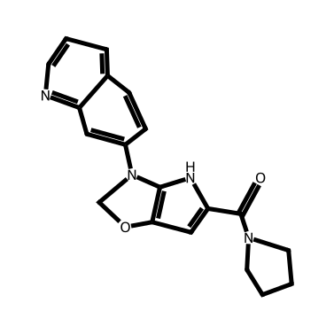 O=C(c1cc2c([nH]1)N(c1ccc3cccnc3c1)CO2)N1CCCC1